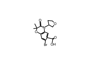 CC1(C)Oc2cc(Br)c(C(=O)O)cc2N(C2CCOC2)C1=O